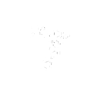 C=CCN(CCOc1cccc(NC)c1C(=N)Nc1ccc(OCc2ccccn2)c(Cl)c1)C(C)=O